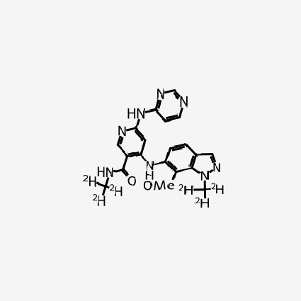 [2H]C([2H])([2H])NC(=O)c1cnc(Nc2ccncn2)cc1Nc1ccc2cnn(C([2H])([2H])[2H])c2c1OC